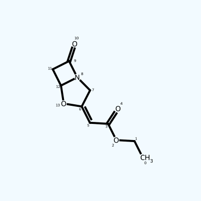 CCOC(=O)/C=C1\CN2C(=O)CC2O1